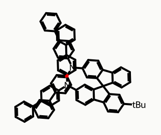 CC(C)(C)c1ccc2c(c1)C1(c3ccccc3-c3ccc(N(c4ccc(-c5ccccc5)cc4)c4ccc(-c5ccccc5)cc4)cc31)c1cc(N(c3ccc(-c4ccccc4)cc3)c3ccc(-c4ccccc4)cc3)ccc1-2